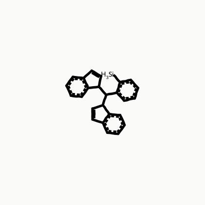 [SiH3]c1ccccc1C(C1C=Cc2ccccc21)C1C=Cc2ccccc21